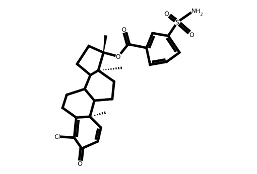 C[C@]12C=CC(=O)C(Cl)=C1CCC1C2CC[C@@]2(C)C1CC[C@]2(C)OC(=O)c1cccc(S(N)(=O)=O)c1